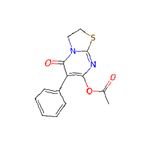 CC(=O)Oc1nc2n(c(=O)c1-c1ccccc1)CCS2